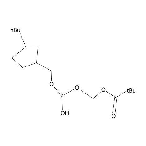 CCCCC1CCC(COP(O)OCOC(=O)C(C)(C)C)C1